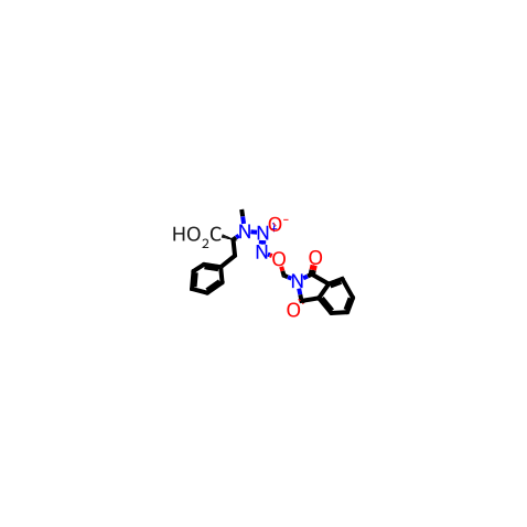 CN([C@@H](Cc1ccccc1)C(=O)O)/[N+]([O-])=N/OCN1C(=O)c2ccccc2C1=O